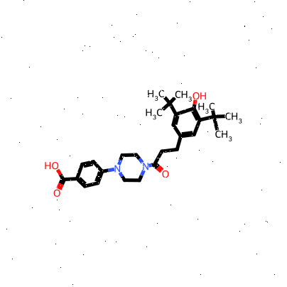 CC(C)(C)c1cc(CCC(=O)N2CCN(c3ccc(C(=O)O)cc3)CC2)cc(C(C)(C)C)c1O